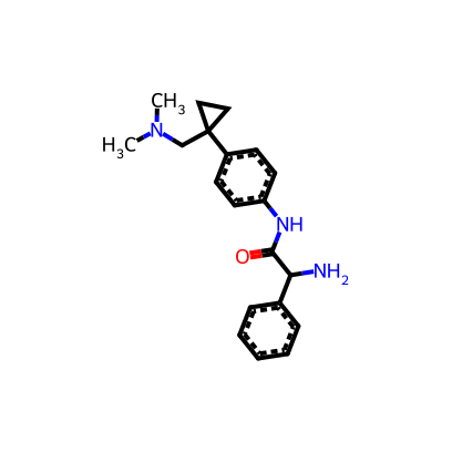 CN(C)CC1(c2ccc(NC(=O)C(N)c3ccccc3)cc2)CC1